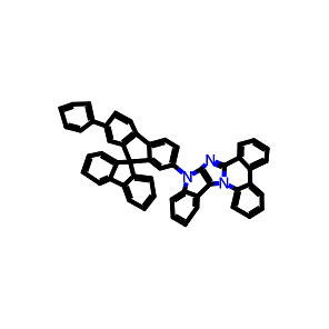 c1ccc(-c2ccc3c(c2)C2(c4ccccc4-c4ccccc42)c2cc(-n4c5ccccc5c5c4nc4c6ccccc6c6ccccc6n45)ccc2-3)cc1